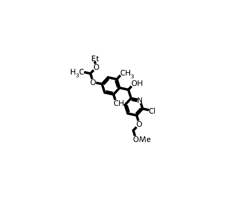 CCOC(C)Oc1cc(C)c(C(O)c2ccc(OCOC)c(Cl)n2)c(C)c1